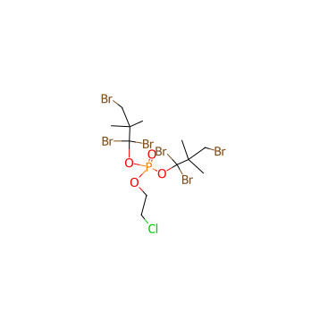 CC(C)(CBr)C(Br)(Br)OP(=O)(OCCCl)OC(Br)(Br)C(C)(C)CBr